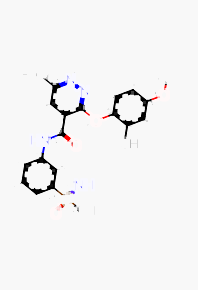 Cc1cc(OC(F)(F)F)ccc1Oc1nnc(C(F)(F)F)cc1C(=O)Nc1cccc(S(C)(=N)=O)c1